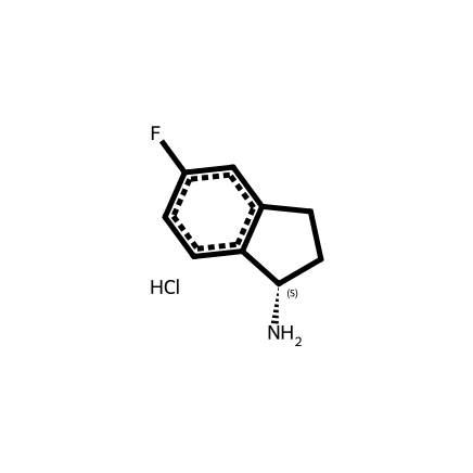 Cl.N[C@H]1CCc2cc(F)ccc21